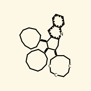 c1ccc2nc3c(cc2c1)C(=C1CCCCCCCCC1)C(=C1CCCCCCCCC1)C(=C1CCCCCCCCC1)C3